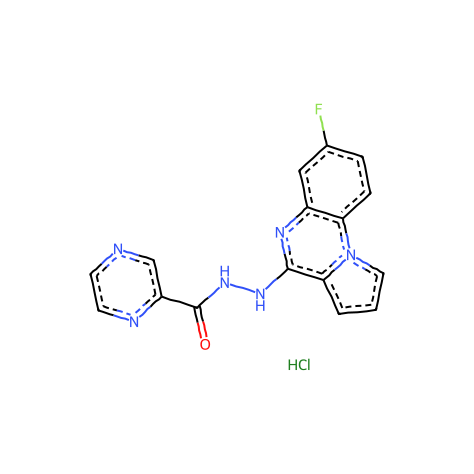 Cl.O=C(NNc1nc2cc(F)ccc2n2cccc12)c1cnccn1